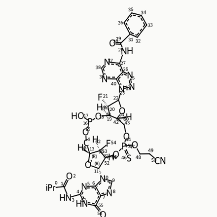 CC(C)C(=O)Nc1nc2c(ncn2[C@@H]2O[C@@H]3COP(O)O[C@H]4[C@H](F)C(n5nnc6c(NC(=O)c7ccccc7)ncnc65)O[C@@H]4COP(=S)(OCCC#N)O[C@@H]2[C@@H]3F)c(=O)[nH]1